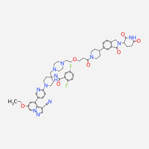 CCOc1cc(-c2ccc(N3CCC(CN4CCN(CCOCCC(=O)N5CCC(c6ccc7c(c6)C(=O)N(C6CCC(=O)NC6=O)C7)CC5)CC4)(NC(=O)c4cc(F)ccc4F)CC3)nc2)c2c(C#N)cnn2c1